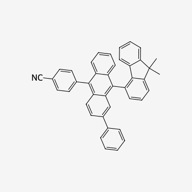 CC1(C)c2ccccc2-c2c(-c3c4ccccc4c(-c4ccc(C#N)cc4)c4ccc(-c5ccccc5)cc34)cccc21